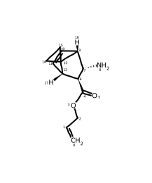 C=CCOC(=O)[C@@H]1[C@@H](N)[C@H]2C=C[C@@H]1C21CC1